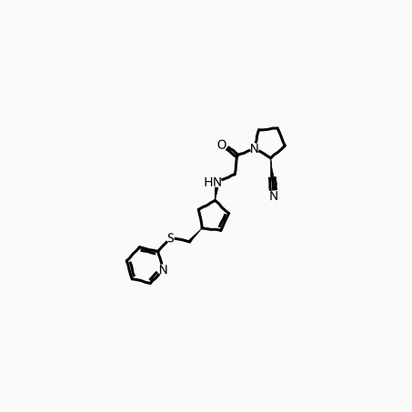 N#C[C@@H]1CCCN1C(=O)CN[C@H]1C=C[C@@H](CSc2ccccn2)C1